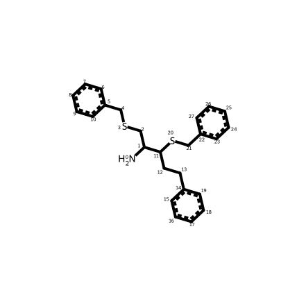 NC(CSCc1ccccc1)C(CCc1ccccc1)SCc1ccccc1